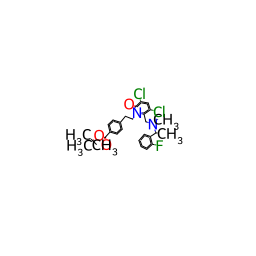 CC(c1ccccc1F)N(C)Cc1c(Cl)cc(Cl)c(=O)n1CCc1ccc(C(=O)OC(C)(C)C)cc1